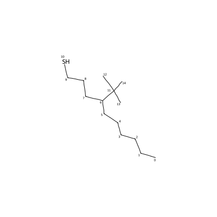 CCCCCCC(CCCS)C(C)(C)C